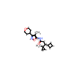 Cc1c(C2CCOCC2)noc1NC(=O)CC(C1CCC1)C1(C)CC1